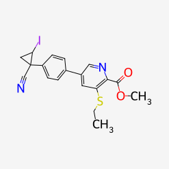 CCSc1cc(-c2ccc(C3(C#N)CC3I)cc2)cnc1C(=O)OC